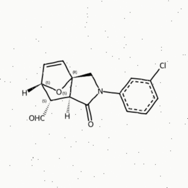 O=C[C@@H]1[C@@H]2C=C[C@@]3(CN(c4cccc(Cl)c4)C(=O)[C@@H]13)O2